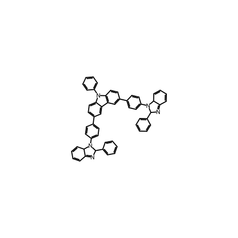 C1=CC2=NC(c3ccccc3)N(c3ccc(-c4ccc5c(c4)c4cc(-c6ccc(N7C8C=CC=CC8=NC7c7ccccc7)cc6)ccc4n5-c4ccccc4)cc3)C2C=C1